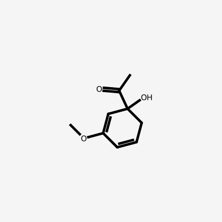 COC1=CC(O)(C(C)=O)CC=C1